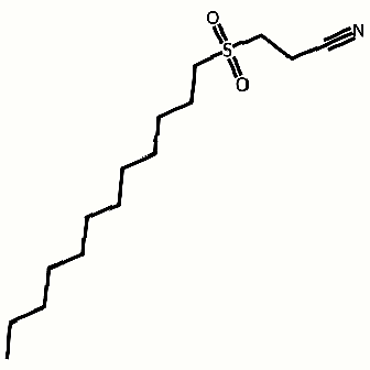 CCCCCCCCCCCCS(=O)(=O)CCC#N